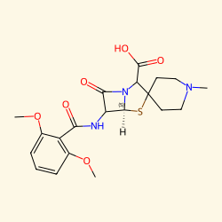 COc1cccc(OC)c1C(=O)NC1C(=O)N2C(C(=O)O)C3(CCN(C)CC3)S[C@@H]12